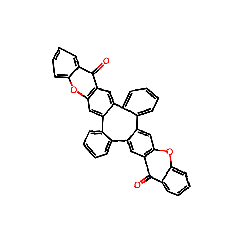 O=c1c2ccccc2oc2cc3c(cc12)-c1ccccc1-c1cc2oc4ccccc4c(=O)c2cc1-c1ccccc1-3